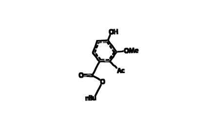 CCCCOC(=O)c1ccc(O)c(OC)c1C(C)=O